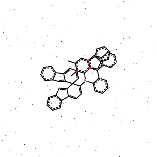 Cc1cc2c(c(N(C3=CC=C4C(=Cc5ccccc54)C34C=CC=C3C4=Cc4ccccc43)c3ccccc3-c3cccc4ccccc34)c1C)Cc1ccccc1-2